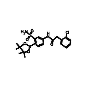 CC1(C)OB(c2ccc(NC(=O)Cc3ccccc3Cl)cc2S(N)(=O)=O)OC1(C)C